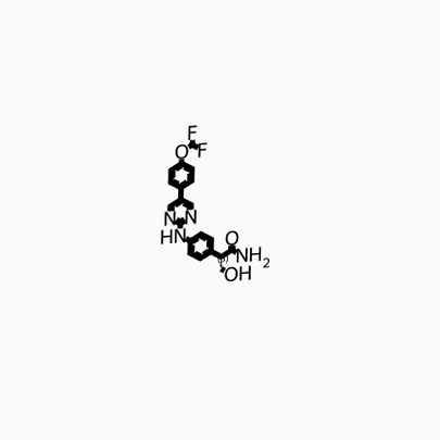 NC(=O)[C@H](CO)c1ccc(Nc2ncc(-c3ccc(OC(F)F)cc3)cn2)cc1